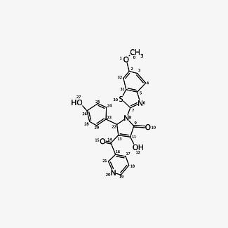 COc1ccc2nc(N3C(=O)C(O)=C(C(=O)c4cccnc4)C3c3ccc(O)cc3)sc2c1